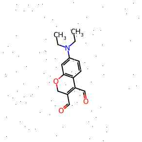 CCN(CC)c1ccc2c(c1)OCC(C=O)=C2C=O